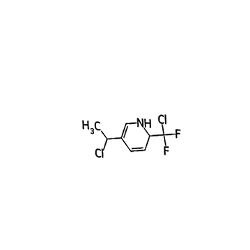 CC(Cl)C1=CNC(C(F)(F)Cl)C=C1